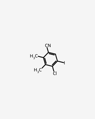 Cc1c(C#N)cc(I)c(Cl)c1C